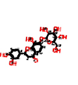 O=C1C[C@@H](c2ccc(O)c(O)c2)Oc2c1ccc(O[C@@H]1O[C@H](CO)[C@@H](O)[C@H](O)[C@H]1O)c2O